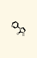 O=c1[nH]ccn1-c1cccnc1